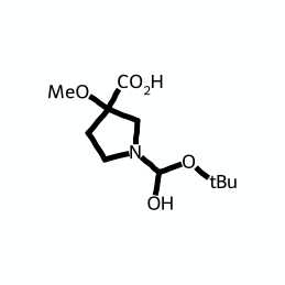 COC1(C(=O)O)CCN(C(O)OC(C)(C)C)C1